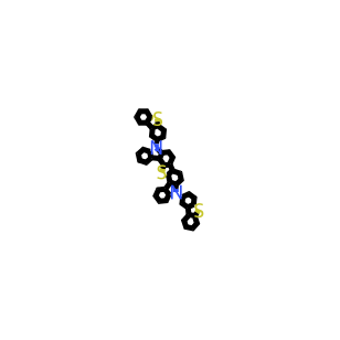 c1ccc2c(c1)sc1ccc(-n3c4ccccc4c4c5sc6c(ccc7c6c6ccccc6n7-c6ccc7sc8ccccc8c7c6)c5ccc43)cc12